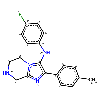 Cc1ccc(-c2nc3n(c2Nc2ccc(F)cc2)CCNC3)cc1